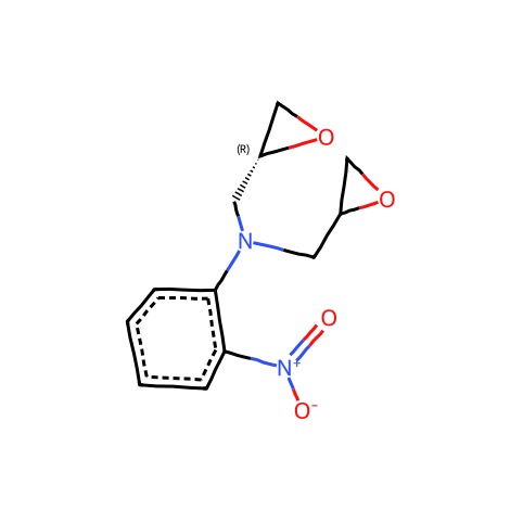 O=[N+]([O-])c1ccccc1N(CC1CO1)C[C@@H]1CO1